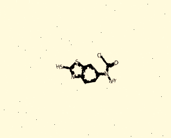 CCCN(C(=O)Cl)c1ccc2nc(S)sc2c1